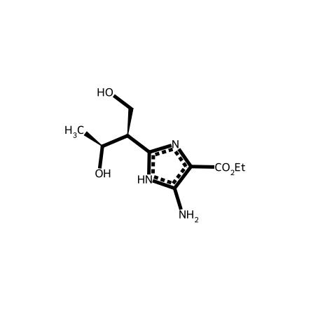 CCOC(=O)c1nc([C@H](CO)[C@H](C)O)[nH]c1N